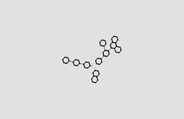 c1ccc(-c2ccc(-c3ccc(N(c4ccc(-c5ccc(-c6cc7ccccc7c7ccccc67)c(-c6ccccc6)c5)cc4)c4ccc5ccccc5c4)cc3)cc2)cc1